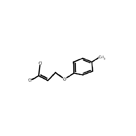 Cc1ccc(OCC=C(Cl)Cl)cc1